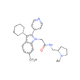 CC(=O)N1CCCC1CNC(=O)Cn1c(-c2ccncc2)c(C2CCCCC2)c2ccc(C(=O)O)cc21